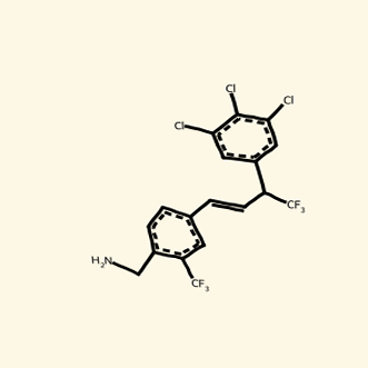 NCc1ccc(C=CC(c2cc(Cl)c(Cl)c(Cl)c2)C(F)(F)F)cc1C(F)(F)F